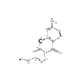 Cc1ccc2c(=O)c3ccc(OC(C)C)cc3oc2c1